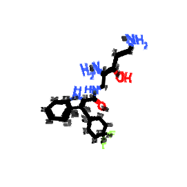 NCCC(O)C(N)CNC(=O)c1[nH]c2ccccc2c1C1CCC(F)(F)CC1